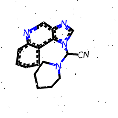 N#CC(N1CCCCC1)n1cnc2cnc3ccccc3c21